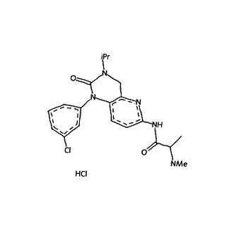 CNC(C)C(=O)Nc1ccc2c(n1)CN(C(C)C)C(=O)N2c1cccc(Cl)c1.Cl